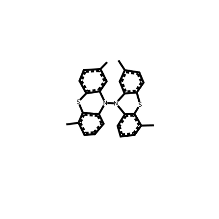 Cc1ccc2c(c1)N(N1c3cc(C)ccc3Sc3c(C)cccc31)c1cccc(C)c1S2